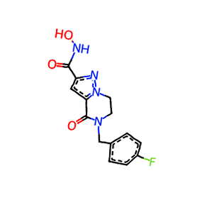 O=C(NO)c1cc2n(n1)CCN(Cc1ccc(F)cc1)C2=O